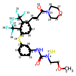 COCCN(S)C(=O)Nc1cccc(Sc2ccc(C=CC(=O)N3CCOCC3)c(C(F)(F)F)c2C(F)(F)F)c1